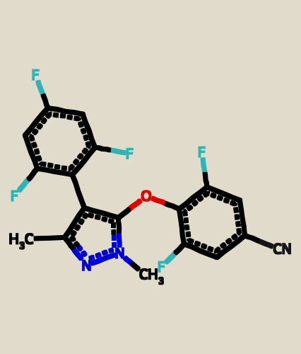 Cc1nn(C)c(Oc2c(F)cc(C#N)cc2F)c1-c1c(F)cc(F)cc1F